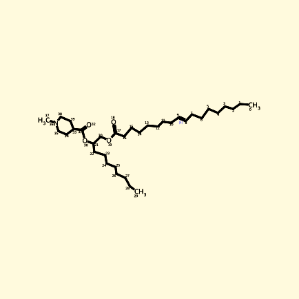 CCCCCCCC/C=C/CCCCCCCC(=O)OCC(CCCCCCCC)OC(=O)C1CCN(C)CC1